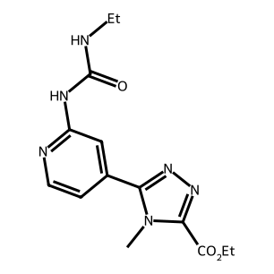 CCNC(=O)Nc1cc(-c2nnc(C(=O)OCC)n2C)ccn1